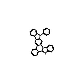 c1ccc(-n2c3ccccc3c3cc4c5ccccc5c5nc6ccccc6n5c4cc32)cc1